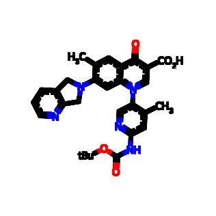 Cc1cc2c(=O)c(C(=O)O)cn(-c3cnc(NC(=O)OC(C)(C)C)cc3C)c2cc1N1Cc2cccnc2C1